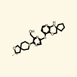 C[C@H]1CC2(CCN(c3ncc(Sc4ccnc5c4OCC4(CCCC4)N5)nc3CO)CC2)CO1